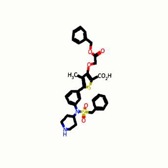 Cc1c(-c2cccc(N(C3CCNCC3)S(=O)(=O)Cc3ccccc3)c2)sc(C(=O)O)c1OCC(=O)OCc1ccccc1